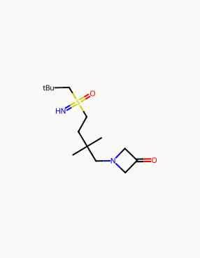 CC(C)(C)CS(=N)(=O)CCC(C)(C)CN1CC(=O)C1